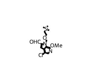 COc1ncc(Cl)c2cc(C=O)n(COCC[Si](C)(C)C)c12